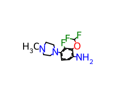 CN1CCN(c2ccc(N)c(OC(F)F)c2F)CC1